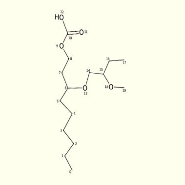 CCCCCCC(CCOC(=O)O)OCC(CC)OC